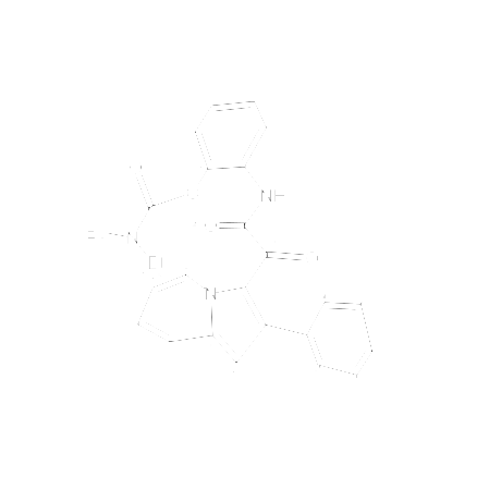 CCN(CC)C(=O)Oc1ccccc1NC(=O)C(=O)c1c(-c2ccccc2)cc2ccccn12